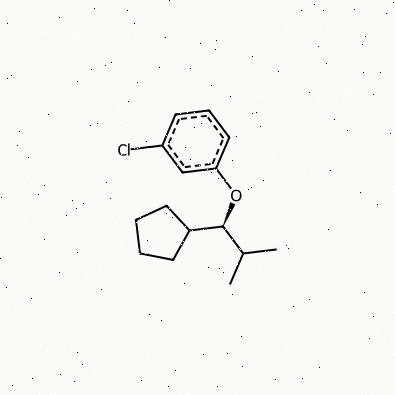 CC(C)[C@H](Oc1cccc(Cl)c1)C1CCCC1